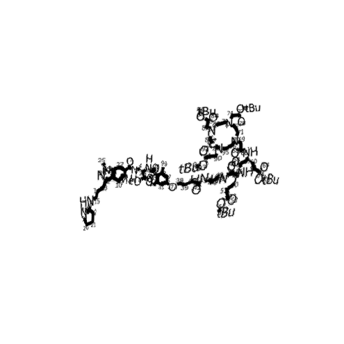 COC(=O)[C@H](CNC(=O)c1ccc2c(CCCNC3=NCCCC3)nn(C)c2c1)NS(=O)(=O)c1c(C)cc(OCCCC(=O)NCCNC(=O)[C@H](CCC(=O)OC(C)(C)C)NC(=O)[C@H](CCC(=O)OC(C)(C)C)NC(=O)CN2CCN(CC(=O)OC(C)(C)C)CCN(CC(=O)OC(C)(C)C)CCN(CC(=O)OC(C)(C)C)CC2)cc1C